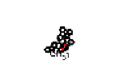 CC1(C)c2ccccc2-c2ccc(N(c3ccc4c(c3)C3(c5ccccc5-4)c4ccccc4-c4c3cc3c5c(cccc45)-c4ccccc4-3)c3cccc4ccccc34)cc21